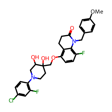 COc1ccc(CN2C(=O)CCc3c(OCC4(O)CCN(c5ccc(Cl)cc5F)CC4O)ccc(F)c32)cc1